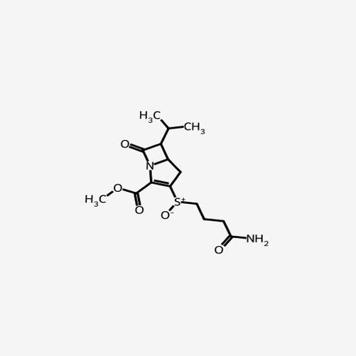 COC(=O)C1=C([S+]([O-])CCCC(N)=O)CC2C(C(C)C)C(=O)N12